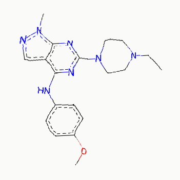 CCN1CCN(c2nc(Nc3ccc(OC)cc3)c3cnn(C)c3n2)CC1